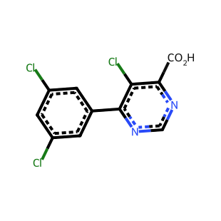 O=C(O)c1ncnc(-c2cc(Cl)cc(Cl)c2)c1Cl